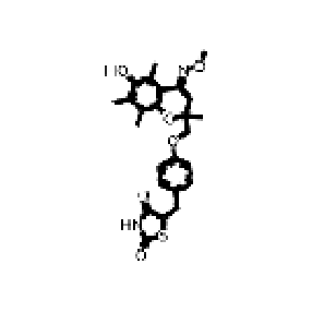 CO/N=C1\CC(C)(COc2ccc(CC3SC(=O)NC3=O)cc2)Oc2c(C)c(C)c(O)c(C)c21